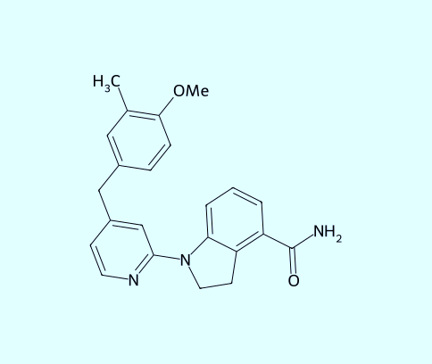 COc1ccc(Cc2ccnc(N3CCc4c(C(N)=O)cccc43)c2)cc1C